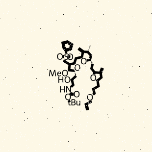 C=CCOCCCC1CC(=C)C(CC[C@H]2C[C@@H](C)C(=C)C(CC3O[C@H](C[C@H](O)CNC(=O)OC(C)(C)C)[C@H](OC)C3CS(=O)(=O)c3ccccc3)O2)O1